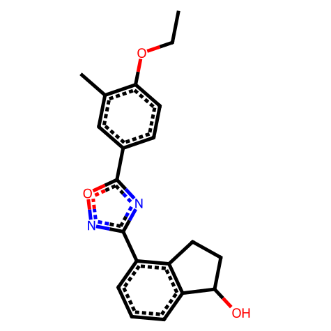 CCOc1ccc(-c2nc(-c3cccc4c3CCC4O)no2)cc1C